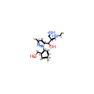 CCN/C=C(\C=N)C(O)c1cc(C)nn1-c1ccc(F)cc1CO